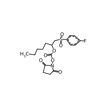 CCCCCC(CS(=O)(=O)c1ccc(F)cc1)OC(=O)ON1C(=O)CCC1=O